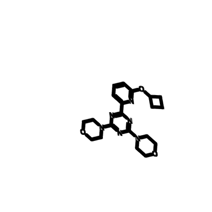 c1cc(OC2CCC2)nc(-c2nc(N3CCOCC3)nc(N3CCOCC3)n2)c1